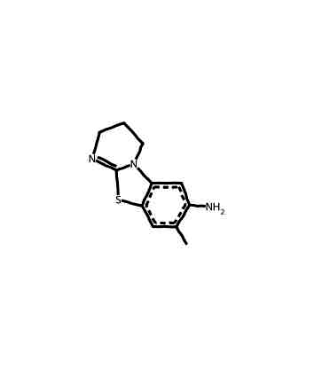 Cc1cc2c(cc1N)N1CCCN=C1S2